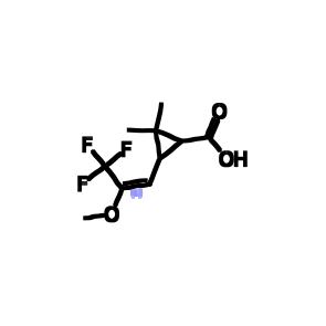 CO/C(=C/C1C(C(=O)O)C1(C)C)C(F)(F)F